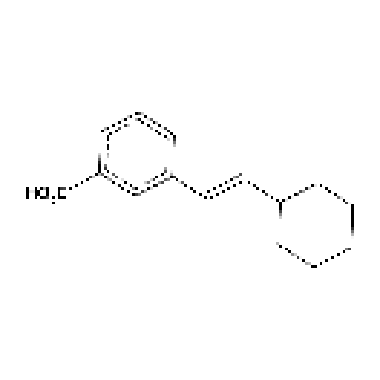 O=C(O)c1cccc(/C=C/C2CCCCC2)c1